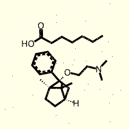 CCCCCCC(=O)O.CN(C)CCO[C@]1(c2ccccc2)C[C@H]2CC[C@]1(C)C2(C)C